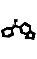 [CH2]C[C@@H](c1ccccc1)c1ccc2cn[nH]c2c1